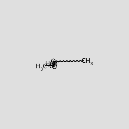 CCCCCCCCC=CCCCCCCCC(=O)OP(=O)(O)OCCCC